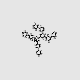 c1ccc(-c2ccc(-c3cc(-c4cc(-c5cccc(-c6ccccc6)c5)cc(-c5cccc(-c6ccccc6)c5)c4)nc(-c4ccc(-c5ccncc5)cc4)n3)cc2)cc1